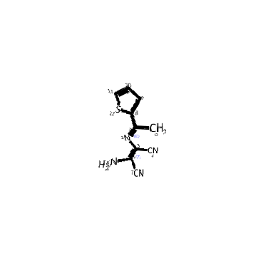 C/C(=N\C(C#N)=C(/N)C#N)c1cccs1